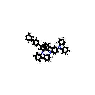 c1ccc(-c2ccc(-c3cccc(-n4c5ccccc5c5cccc(-n6c7ccccc7c7cc(-n8c9ccccc9c9ccccc98)ccc76)c54)c3)cc2)cc1